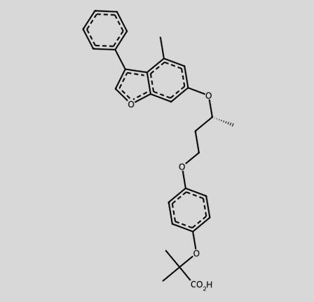 Cc1cc(O[C@H](C)CCOc2ccc(OC(C)(C)C(=O)O)cc2)cc2occ(-c3ccccc3)c12